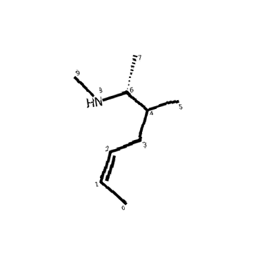 C/C=C\CC(C)[C@@H](C)NC